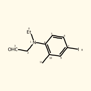 CCN(CC=O)c1ccc(I)cc1C